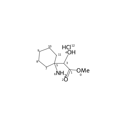 COC(=O)C(O)C1(N)CCCCC1.Cl